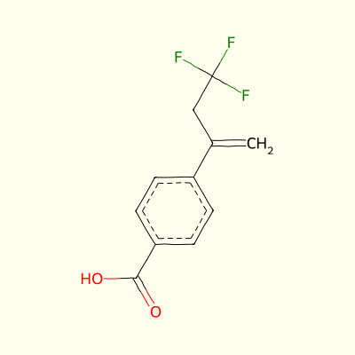 C=C(CC(F)(F)F)c1ccc(C(=O)O)cc1